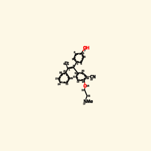 CC/C(=C(\c1ccc(O)cc1)c1ccc(OCCNC)c(C#N)c1)c1ccccc1